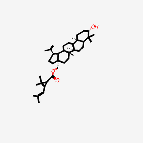 C=C(C)[C@@H]1CC[C@]2(COC(=O)C3C(C=C(C)C)C3(C)C)CC[C@]3(C)C(CCC4[C@@]5(C)CC[C@H](O)C(C)(C)C5CC[C@]43C)C12